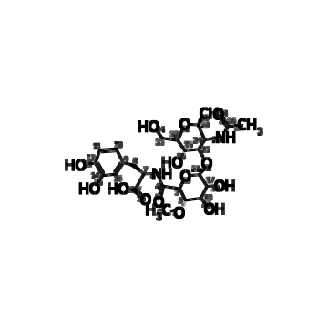 CO[C@@H]1C(C(=O)N[C@H](Cc2ccc(O)c(O)c2)C(=O)O)O[C@@H](OC2C(NC(C)=O)[C@H](C)OC(CO)[C@H]2O)C(O)C1O